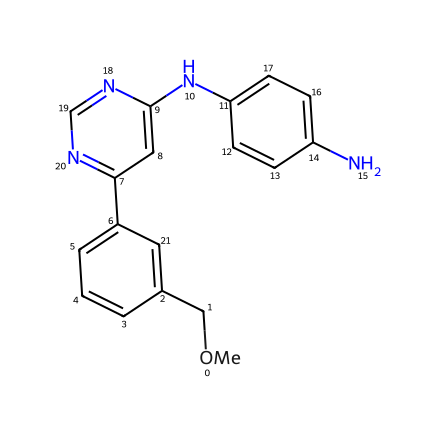 COCc1cccc(-c2cc(Nc3ccc(N)cc3)ncn2)c1